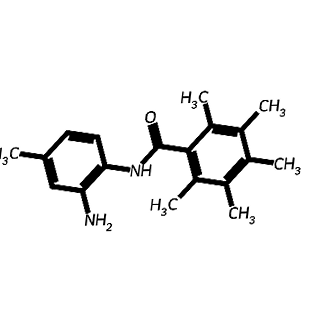 Cc1ccc(NC(=O)c2c(C)c(C)c(C)c(C)c2C)c(N)c1